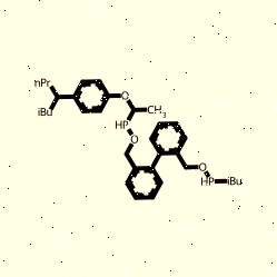 CCCC(c1ccc(OC(C)POCc2ccccc2-c2ccccc2COPC(C)CC)cc1)C(C)CC